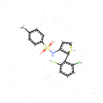 CCCc1ccc(S(=O)(=O)Nc2ccsc2-c2c(F)cccc2Cl)cc1